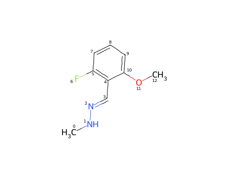 CN/N=C/c1c(F)cccc1OC